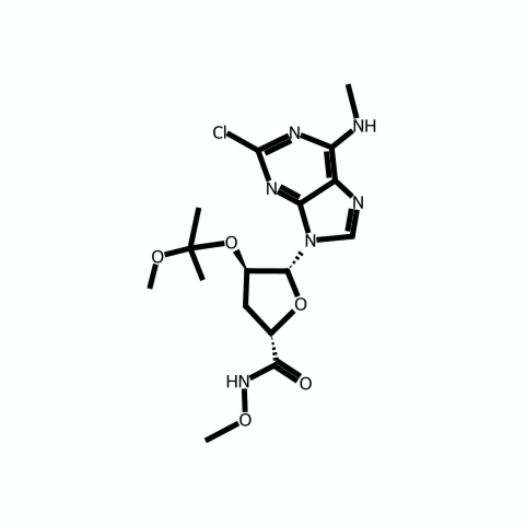 CNc1nc(Cl)nc2c1ncn2[C@@H]1O[C@H](C(=O)NOC)C[C@H]1OC(C)(C)OC